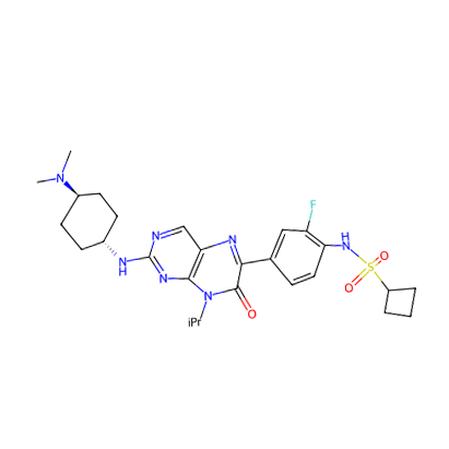 CC(C)n1c(=O)c(-c2ccc(NS(=O)(=O)C3CCC3)c(F)c2)nc2cnc(N[C@H]3CC[C@H](N(C)C)CC3)nc21